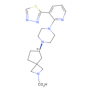 O=C(O)N1CC2(CC[C@@H](N3CCN(c4ncccc4-c4nncs4)CC3)C2)C1